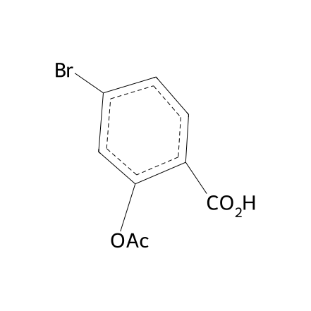 CC(=O)Oc1cc(Br)ccc1C(=O)O